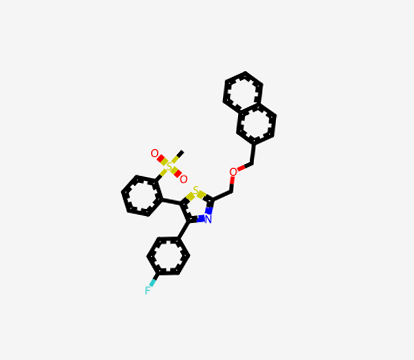 CS(=O)(=O)c1ccccc1-c1sc(COCc2ccc3ccccc3c2)nc1-c1ccc(F)cc1